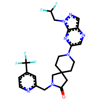 O=C1CC2(CCN(c3cnc4cnn(CC(F)F)c4n3)CC2)CN1Cc1cc(C(F)(F)F)ccn1